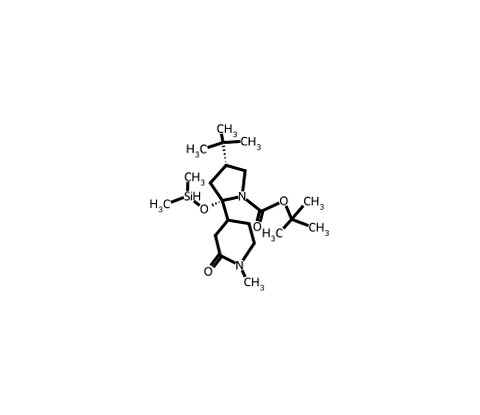 CN1CCC([C@@]2(O[SiH](C)C)C[C@H](C(C)(C)C)CN2C(=O)OC(C)(C)C)CC1=O